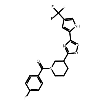 O=C(c1ccc(F)cc1)N1CCCC(c2nc(-c3cc(C(F)(F)F)c[nH]3)no2)C1